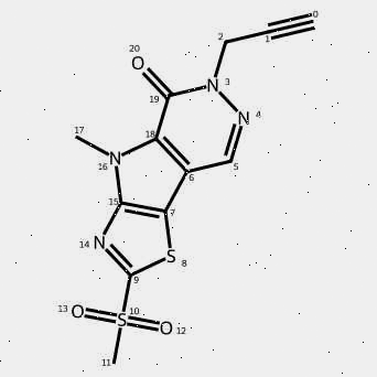 C#CCn1ncc2c3sc(S(C)(=O)=O)nc3n(C)c2c1=O